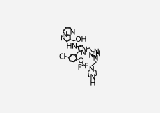 OC(Nc1cn(Cc2nnn(CCN3CCNCC3)n2)nc1-c1cc(Cl)ccc1OC(F)F)c1cnn2cccnc12